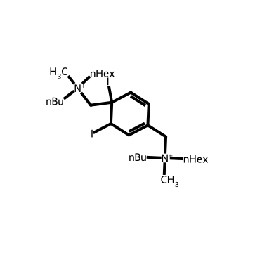 CCCCCC[N+](C)(CCCC)CC1=CC(I)C(I)(C[N+](C)(CCCC)CCCCCC)C=C1